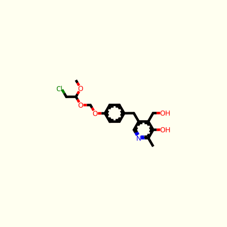 COC(CCl)OCOc1ccc(Cc2cnc(C)c(O)c2CO)cc1